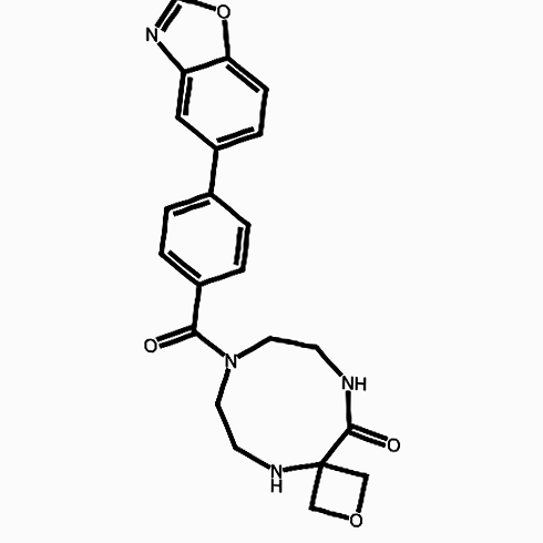 O=C(c1ccc(-c2ccc3ocnc3c2)cc1)N1CCNC(=O)C2(COC2)NCC1